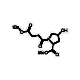 COC(=O)[C@@H]1C[C@H](O)CN1C(=O)CCC(=O)OC(C)(C)C